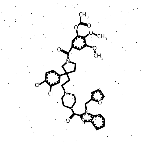 COc1cc(C(=O)N2CCC(CCN3CCC(C(=O)c4nc5ccccc5n4Cc4ccco4)CC3)(c3ccc(Cl)c(Cl)c3)C2)cc(OC(C)=O)c1OC